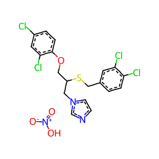 Clc1ccc(OCC(Cn2ccnc2)SCc2ccc(Cl)c(Cl)c2)c(Cl)c1.O=[N+]([O-])O